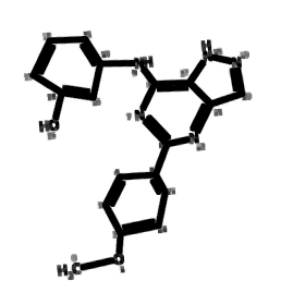 COc1ccc(-c2nc(Nc3cccc(O)c3)c3[nH]ncc3n2)cc1